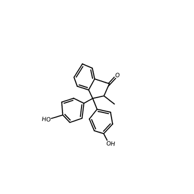 CC1C(=O)c2ccccc2C1(c1ccc(O)cc1)c1ccc(O)cc1